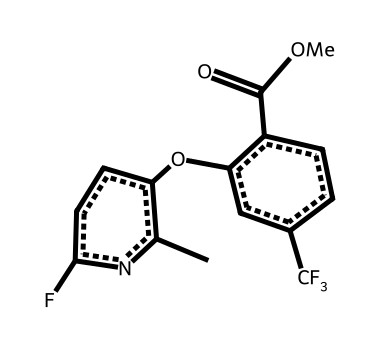 COC(=O)c1ccc(C(F)(F)F)cc1Oc1ccc(F)nc1C